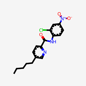 CCCCCc1ccc(C(=O)Nc2ccc([N+](=O)[O-])cc2Cl)nc1